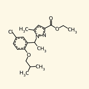 CCOC(=O)c1cc(C)n(C(C)c2cc(Cl)ccc2OCC(C)C)n1